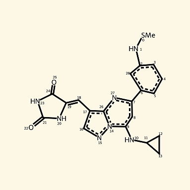 CSNc1cccc(-c2cc(NC3CC3)n3ncc(/C=C4\NC(=O)NC4=O)c3n2)c1